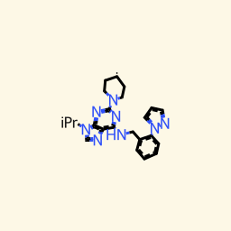 CC(C)n1cnc2c(NCc3ccccc3-n3cccn3)nc(N3CC[CH]CC3)nc21